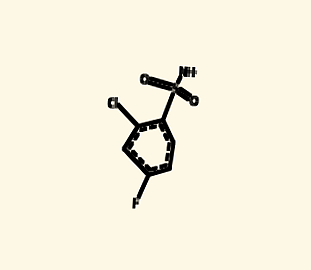 [NH]S(=O)(=O)c1ccc(F)cc1Cl